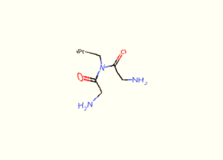 CC(C)CN(C(=O)CN)C(=O)CN